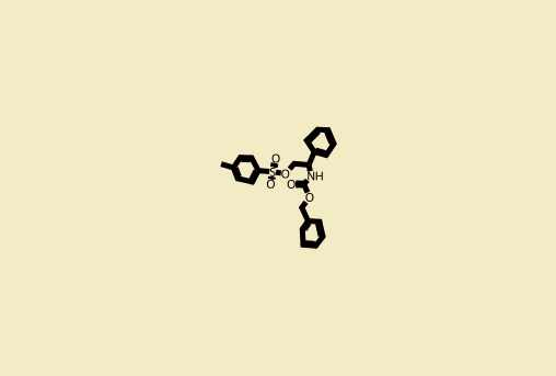 Cc1ccc(S(=O)(=O)OCC(NC(=O)OCc2ccccc2)c2ccccc2)cc1